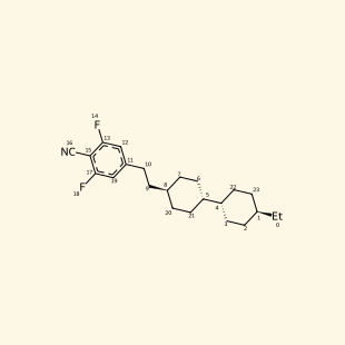 CC[C@H]1CC[C@H]([C@H]2CC[C@H](CCc3cc(F)c(C#N)c(F)c3)CC2)CC1